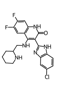 O=c1[nH]c2cc(F)c(F)cc2c(NCC2CCCCN2)c1-c1nc2cc(Cl)ccc2[nH]1